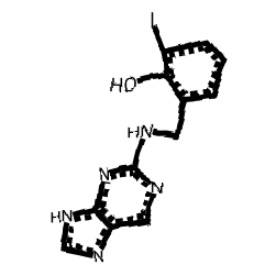 Oc1c(I)cccc1CNc1ncc2nc[nH]c2n1